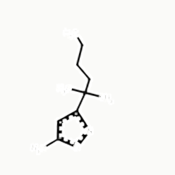 CCCCC(C)(C)c1cc(C)on1